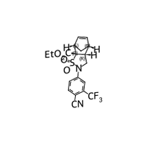 CCOC(=O)[C@@]12[C@@H]3C=C[C@@H](C3)[C@@H]1CN(c1ccc(C#N)c(C(F)(F)F)c1)S2(=O)=O